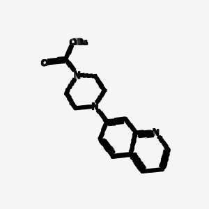 CC(C)COC(=O)N1CCN(c2ccc3cccnc3c2)CC1